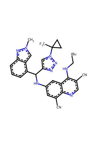 Cn1cc2c(C(Nc3cc(C#N)c4ncc(C#N)c(NCC(C)(C)C)c4c3)c3cn(C4(C(F)(F)F)CC4)nn3)cccc2n1